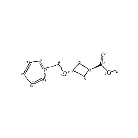 COC(=O)[C@H]1C[C@H](OCc2ccccc2)C1